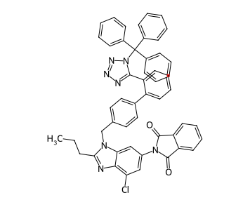 CCCc1nc2c(Cl)cc(N3C(=O)c4ccccc4C3=O)cc2n1Cc1ccc(-c2ccccc2-c2nnnn2C(c2ccccc2)(c2ccccc2)c2ccccc2)cc1